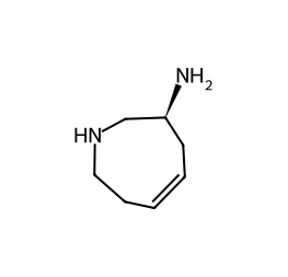 N[C@H]1CC=CCCNC1